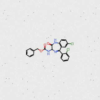 O=C(NC1N=C(c2ccccc2Cl)c2cc(Cl)ccc2NC1=O)OCc1ccccc1